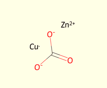 O=C([O-])[O-].[Cu].[Zn+2]